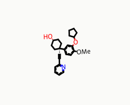 COc1ccc([C@]2(C#Cc3ccccn3)CC[C@@H](O)CC2)cc1OC1CCCC1